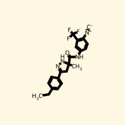 [C-]#[N+]c1ccc(NC(=O)C2(C)CC(c3ccc(CC)cc3)=NN2)cc1C(F)(F)F